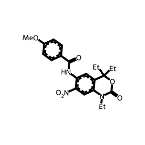 CCN1C(=O)OC(CC)(CC)c2cc(NC(=O)c3ccc(OC)cc3)c([N+](=O)[O-])cc21